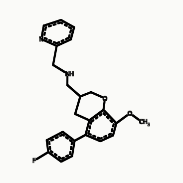 COc1ccc(-c2ccc(F)cc2)c2c1OCC(CNCc1ccccn1)C2